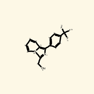 OCc1nc(-c2ccc(C(F)(F)F)cc2)c2ccccn12